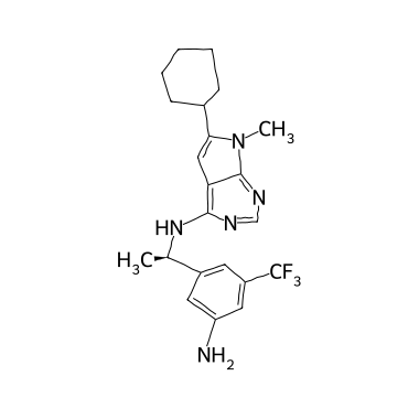 C[C@@H](Nc1ncnc2c1cc(C1CCCCC1)n2C)c1cc(N)cc(C(F)(F)F)c1